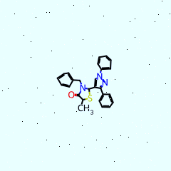 CC1SC(c2cn(-c3ccccc3)nc2-c2ccccc2)N(Cc2ccccc2)C1=O